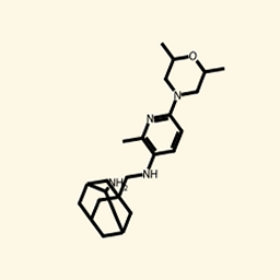 Cc1nc(N2CC(C)OC(C)C2)ccc1NCC12CC3CC(C1)C(N)C(C3)C2